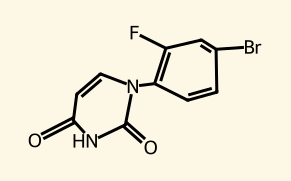 O=c1ccn(-c2ccc(Br)cc2F)c(=O)[nH]1